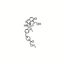 C=CC(=O)N1CCN(Cc2ccc(C(C)Nc3ncc4ccc(=O)n(C(C)CO)c4n3)cc2)CC1